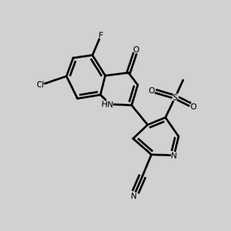 CS(=O)(=O)c1cnc(C#N)cc1-c1cc(=O)c2c(F)cc(Cl)cc2[nH]1